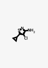 Nc1nsc(C2CC2)c1Cl